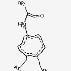 CCCC(=O)Nc1ccc(C(C)C)c(C(C)=O)c1